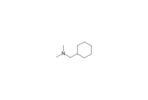 CN(C)C[C]1CCCCC1